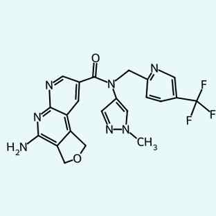 Cn1cc(N(Cc2ccc(C(F)(F)F)cn2)C(=O)c2cnc3nc(N)c4c(c3c2)COC4)cn1